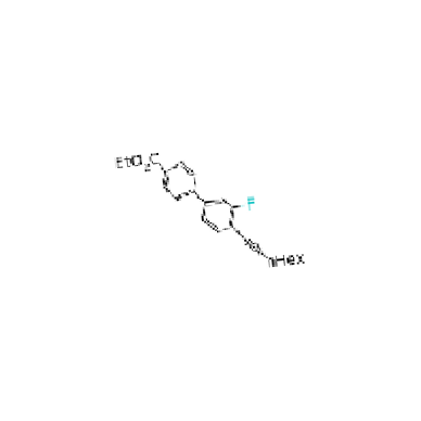 CCCCCCC#Cc1ccc(-c2ccc(C(=O)OCC)cc2)cc1F